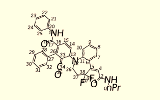 CCCNC(=O)C=C1c2ccccc2N(C2C=CC(C(=O)Nc3ccccc3)=C(c3ccccc3)C2=C=O)CCC1(F)F